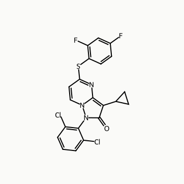 O=c1c(C2CC2)c2nc(Sc3ccc(F)cc3F)ccn2n1-c1c(Cl)cccc1Cl